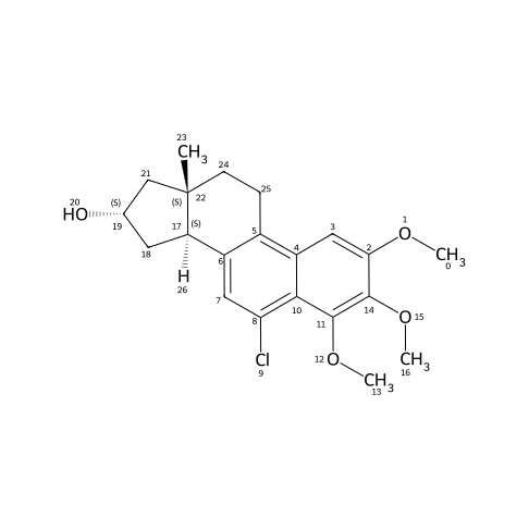 COc1cc2c3c(cc(Cl)c2c(OC)c1OC)[C@H]1C[C@H](O)C[C@]1(C)CC3